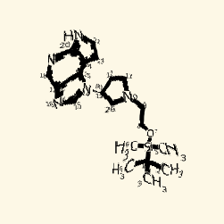 CC(C)(C)[Si](C)(C)OCCN1CC[C@@H](n2cnc3cnc4[nH]ccc4c32)C1